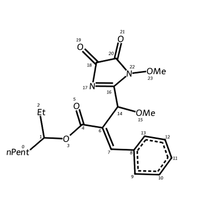 CCCCCC(CC)OC(=O)C(=Cc1ccccc1)C(OC)C1=NC(=O)C(=O)N1OC